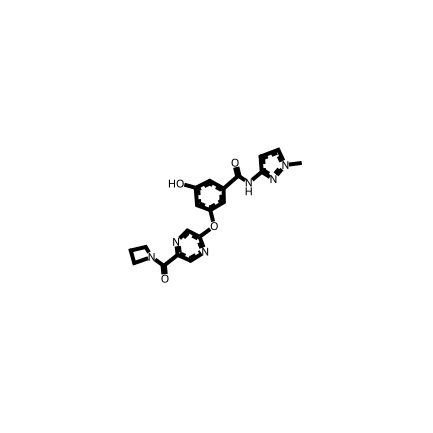 Cn1ccc(NC(=O)c2cc(O)cc(Oc3cnc(C(=O)N4CCC4)cn3)c2)n1